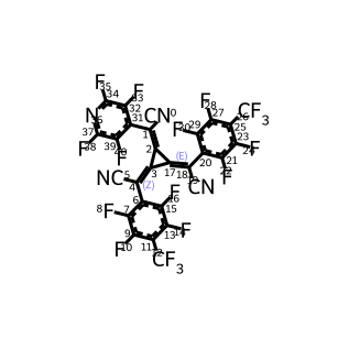 N#CC(=C1C(=C(\C#N)c2c(F)c(F)c(C(F)(F)F)c(F)c2F)/C1=C(\C#N)c1c(F)c(F)c(C(F)(F)F)c(F)c1F)c1c(F)c(F)nc(F)c1F